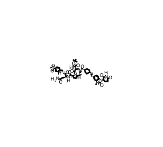 Cn1c(=O)n(C2CCC(=O)NC2=O)c2ccc(CC[C@H]3CC[C@@H](C(=O)N4CC[C@H]5CC[C@@H](C(=O)N[C@@H](CCC(N)=O)C(=O)NCc6ccc(S(C)(=O)=O)cc6)N5C(=O)[C@@H](NC(=O)OC(C)(C)C)C4)CC3)cc21